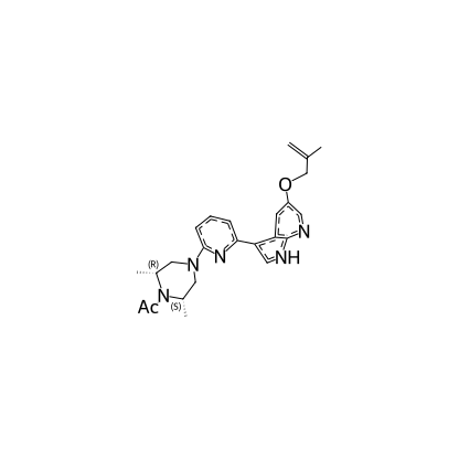 C=C(C)COc1cnc2[nH]cc(-c3cccc(N4C[C@@H](C)N(C(C)=O)[C@@H](C)C4)n3)c2c1